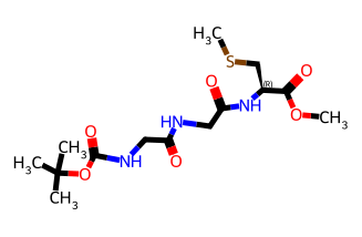 COC(=O)[C@H](CSC)NC(=O)CNC(=O)CNC(=O)OC(C)(C)C